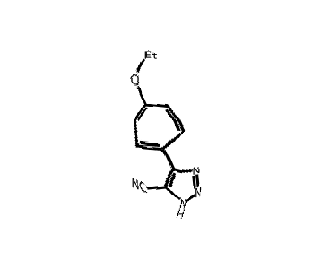 CCOc1ccc(-c2nn[nH]c2C#N)cc1